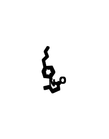 C=C1C=CC(=O)N1c1ccc(CCCC)cc1